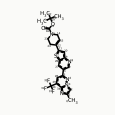 Cc1cn2nc(-c3cnc4cc(C5=CCN(C(=O)OC(C)(C)C)CC5)sc4c3)cc(C(F)(F)F)c2n1